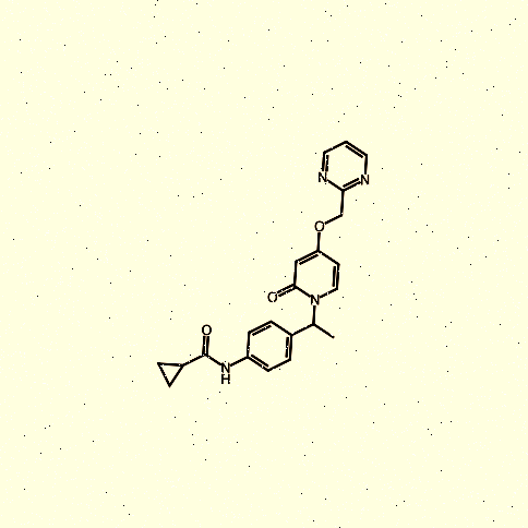 CC(c1ccc(NC(=O)C2CC2)cc1)n1ccc(OCc2ncccn2)cc1=O